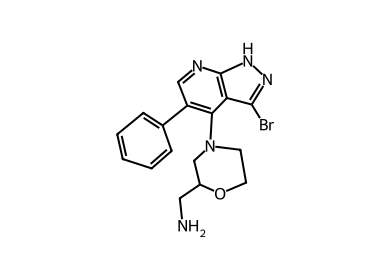 NCC1CN(c2c(-c3ccccc3)cnc3[nH]nc(Br)c23)CCO1